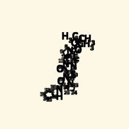 CC(C)(C)OC(=O)N1CCC(Cn2c(C(F)(F)F)nc3sc(N4CCC[C@@H]4C(=O)NCc4ccccc4)nc3c2=O)C1